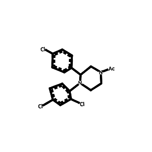 CC(=O)N1CCN(c2ccc(Cl)cc2Cl)C(c2ccc(Cl)cc2)C1